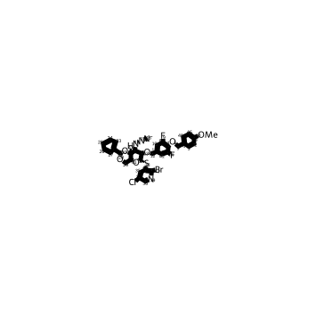 COc1ccc(COc2c(F)cc(COC3C(N=[N+]=[N-])[C@H]4OC(c5ccccc5)OCC4O[C@@H]3Sc3cc(Cl)cnc3Br)cc2F)cc1